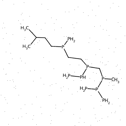 CC(C)CCP(P)CCP(CP(C)P(P)P)PP